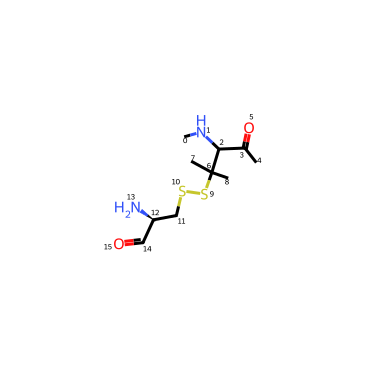 CNC(C(C)=O)C(C)(C)SSC[C@H](N)C=O